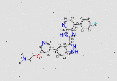 CN(C)CCOc1cncc(-c2ccc3[nH]nc(-c4nc5c(-c6ccc(F)cc6)ccnc5[nH]4)c3c2)c1